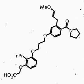 CCCc1c(OCCCOc2ccc(C(=O)N3CCCC3)c(CC=COC)c2)cccc1OCC(=O)O